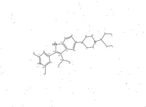 CCC(CC)N1CCC(c2ccc3[nH]c(-c4cc(C)nc(C)c4)c(C(C)C)c3c2)CC1